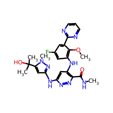 CNC(=O)c1nnc(Nc2cc(C(C)(C)O)n(C)n2)cc1Nc1cc(F)cc(-c2ncccn2)c1OC